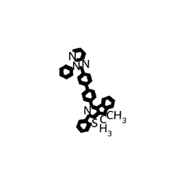 CC1(C)c2ccccc2-c2c(-c3ccc(-c4ccc(-c5nc6cccnc6n5-c5ccccc5)cc4)cc3)nc3c(sc4ccccc43)c21